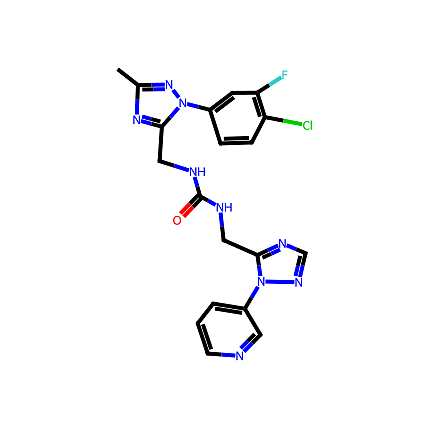 Cc1nc(CNC(=O)NCc2ncnn2-c2cccnc2)n(-c2ccc(Cl)c(F)c2)n1